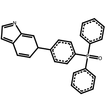 O=P(c1ccccc1)(c1ccccc1)c1ccc(C2C=CC3=CC=NC3=C2)cc1